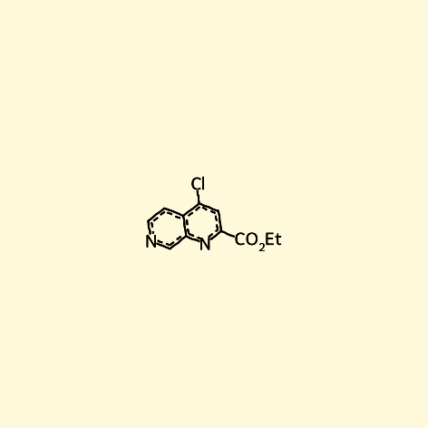 CCOC(=O)c1cc(Cl)c2ccncc2n1